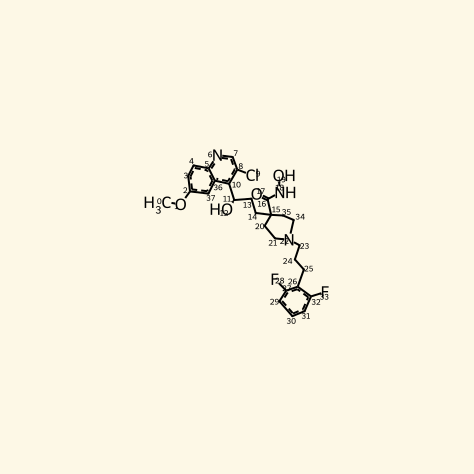 COc1ccc2ncc(Cl)c([C@H](O)CCC3(C(=O)NO)CCN(CCCc4c(F)cccc4F)CC3)c2c1